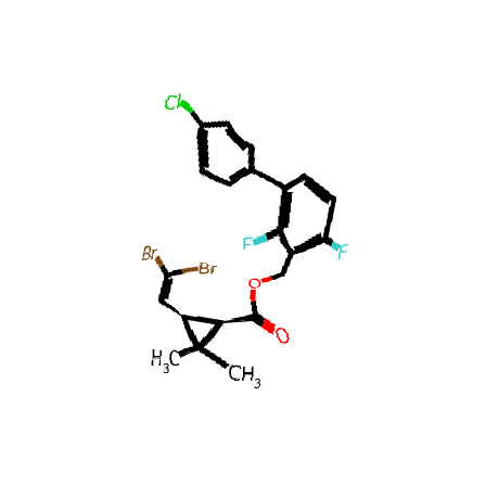 CC1(C)[C@H](C(=O)OCc2c(F)ccc(-c3ccc(Cl)cc3)c2F)[C@@H]1C=C(Br)Br